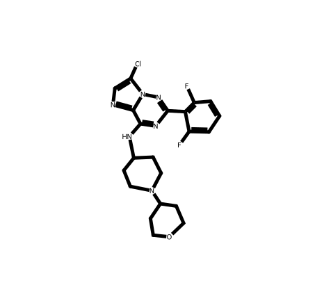 Fc1cccc(F)c1-c1nc(NC2CCN(C3CCOCC3)CC2)c2ncc(Cl)n2n1